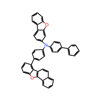 c1ccc(-c2ccc(N(c3ccc(-c4cccc5oc6c7ccccc7ccc6c45)cc3)c3ccc4c(c3)oc3ccccc34)cc2)cc1